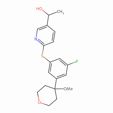 COC1(c2cc(F)cc(Sc3ccc(C(C)O)cn3)c2)CCOCC1